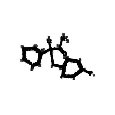 CCC(Cc1ccc(F)cc1)(C(N)=O)c1cccnc1